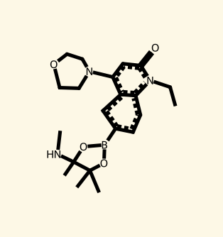 CCn1c(=O)cc(N2CCOCC2)c2cc(B3OC(C)(C)C(C)(NC)O3)ccc21